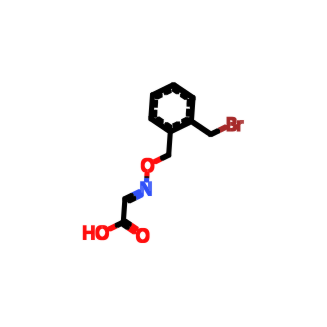 O=C(O)C=NOCc1ccccc1CBr